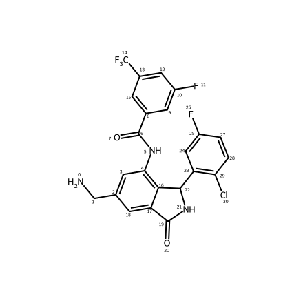 NCc1cc(NC(=O)c2cc(F)cc(C(F)(F)F)c2)c2c(c1)C(=O)NC2c1cc(F)ccc1Cl